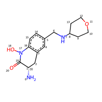 N[C@H]1Cc2cc(CNC3CCOCC3)ccc2N(O)C1=O